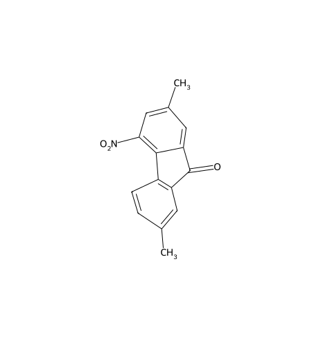 Cc1ccc2c(c1)C(=O)c1cc(C)cc([N+](=O)[O-])c1-2